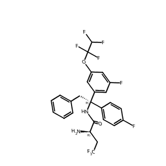 N[C@H](CC(F)(F)F)C(=O)N[C@](Cc1ccccc1)(c1ccc(F)cc1)c1cc(F)cc(OC(F)(F)C(F)F)c1